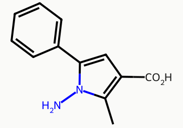 Cc1c(C(=O)O)cc(-c2ccccc2)n1N